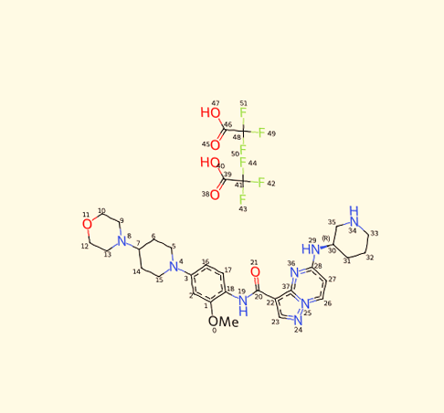 COc1cc(N2CCC(N3CCOCC3)CC2)ccc1NC(=O)c1cnn2ccc(N[C@@H]3CCCNC3)nc12.O=C(O)C(F)(F)F.O=C(O)C(F)(F)F